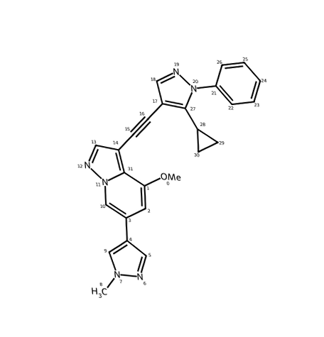 COc1cc(-c2cnn(C)c2)cn2ncc(C#Cc3cnn(-c4ccccc4)c3C3CC3)c12